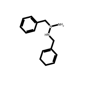 NN(Cc1ccccc1)NCC1=CCCC=C1